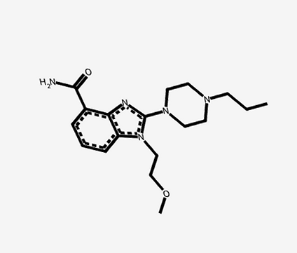 CCCN1CCN(c2nc3c(C(N)=O)cccc3n2CCOC)CC1